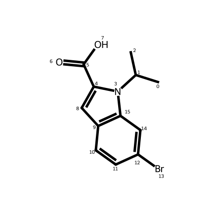 CC(C)n1c(C(=O)O)cc2ccc(Br)cc21